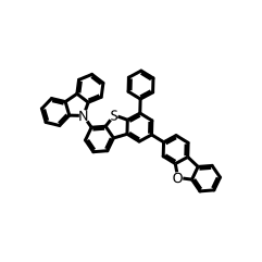 c1ccc(-c2cc(-c3ccc4c(c3)oc3ccccc34)cc3c2sc2c(-n4c5ccccc5c5ccccc54)cccc23)cc1